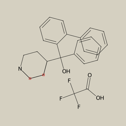 O=C(O)C(F)(F)F.OC(c1ccccc1)(c1ccccc1-c1ccccc1)C12CCN(CC1)CC2